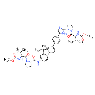 COC(=O)N[C@H](C(=O)N1CCC[C@H]1C(=O)Nc1ccc2c(c1)C(C)(C)c1cc(-c3ccc(-c4cnc([C@@H]5CCCN5C(=O)[C@@H](NC(=O)OC)C(C)C)[nH]4)cc3)ccc1-2)C(C)C